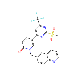 CS(=O)(=O)c1nc(-c2ccc(=O)n(Cc3ccc4ncccc4c3)c2)cc(C(F)(F)F)n1